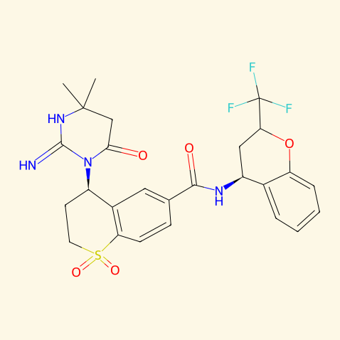 CC1(C)CC(=O)N([C@@H]2CCS(=O)(=O)c3ccc(C(=O)N[C@H]4CC(C(F)(F)F)Oc5ccccc54)cc32)C(=N)N1